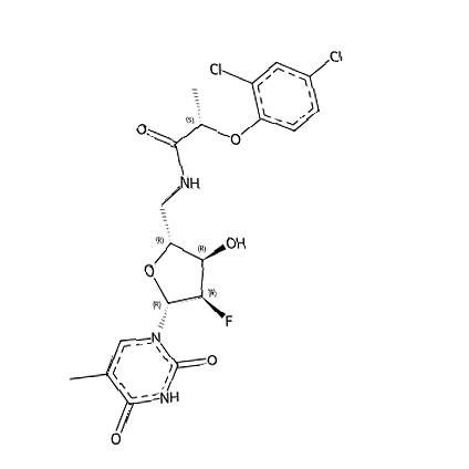 Cc1cn([C@@H]2O[C@H](CNC(=O)[C@H](C)Oc3ccc(Cl)cc3Cl)[C@@H](O)[C@H]2F)c(=O)[nH]c1=O